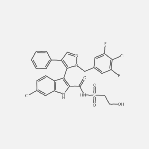 O=C(NS(=O)(=O)CCO)c1[nH]c2cc(Cl)ccc2c1-c1c(-c2ccccc2)cnn1Cc1cc(F)c(Cl)c(F)c1